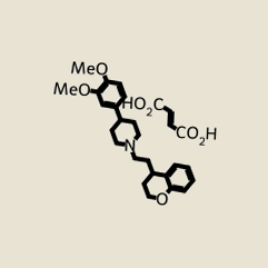 COc1ccc(C2CCN(CCC3CCOc4ccccc43)CC2)cc1OC.O=C(O)C=CC(=O)O